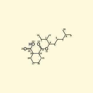 CCC(C)C(CCCC(C)C)OC(=O)C1CCCCC1C(=O)O